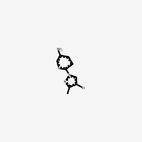 CCc1cn(-c2ccc(N)cn2)nc1C